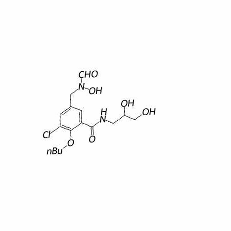 CCCCOc1c(Cl)cc(CN(O)C=O)cc1C(=O)NCC(O)CO